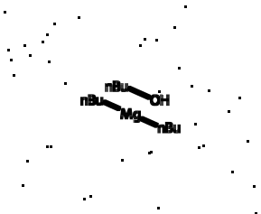 CCCCO.CCC[CH2][Mg][CH2]CCC